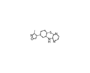 Cc1nocc1-c1ccc2c(c1)Nc1nccnc1S2